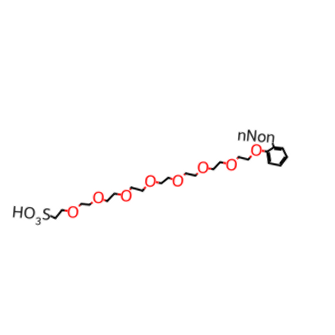 CCCCCCCCCc1ccccc1OCCOCCOCCOCCOCCOCCOCCOCCS(=O)(=O)O